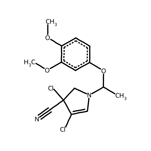 COc1ccc(OC(C)N2C=C(Cl)C(Cl)(C#N)C2)cc1OC